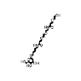 O=C(CCOCCO)NCCOCCOCCC(=O)NCCCCCO[C@H]1C[C@@H](O)[C@@H](O)[C@@H](CO)O1